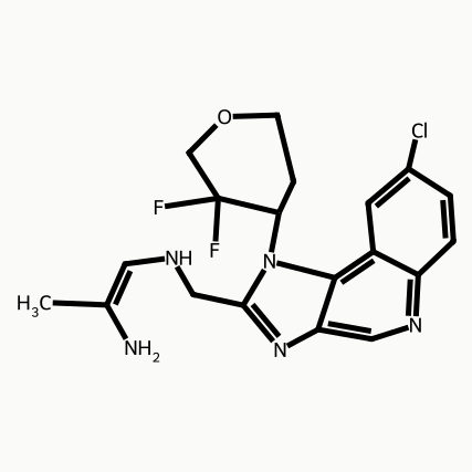 C/C(N)=C/NCc1nc2cnc3ccc(Cl)cc3c2n1C1CCOCC1(F)F